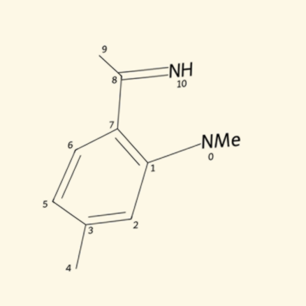 CNc1cc(C)ccc1C(C)=N